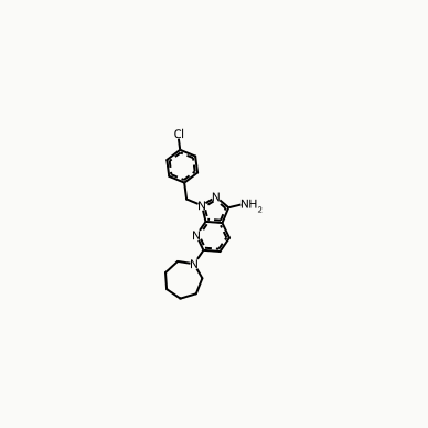 Nc1nn(Cc2ccc(Cl)cc2)c2nc(N3CCCCCC3)ccc12